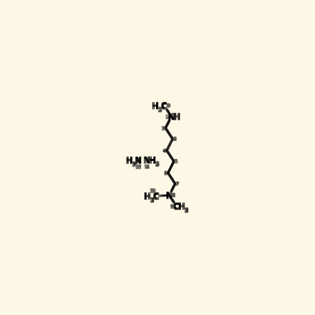 CNCCCCCCN(C)C.N.N